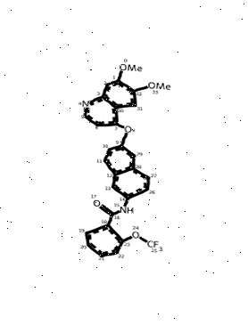 COc1cc2nccc(Oc3ccc4cc(NC(=O)c5ccccc5OC(F)(F)F)ccc4c3)c2cc1OC